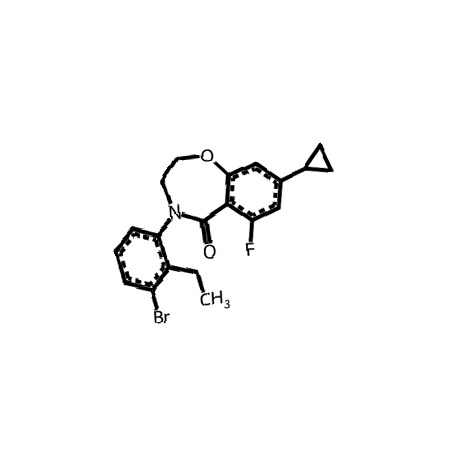 CCc1c(Br)cccc1N1CCOc2cc(C3CC3)cc(F)c2C1=O